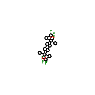 Fc1cc(-c2ccccc2-c2c3c(c(-c4ccccc4)c4ccccc24)-c2ccc4c5ccc6c7c(ccc(c8ccc-3c2c48)c75)-c2c-6c(-c3ccccc3-c3cc(F)c(F)c(F)c3)c3ccccc3c2-c2ccccc2)cc(F)c1F